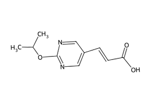 CC(C)Oc1ncc(C=CC(=O)O)cn1